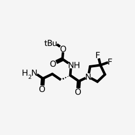 CC(C)(C)OC(=O)N[C@@H](CCC(N)=O)C(=O)N1CCC(F)(F)C1